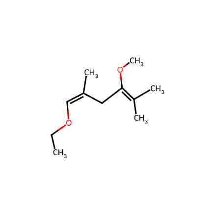 CCOC=C(C)CC(OC)=C(C)C